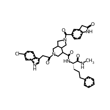 CNC(=O)[C@H](CCCc1ccccc1)NC(=O)C1CN(C(=O)Cc2c[nH]c3cc(Cl)ccc23)CC2CN(C(=O)c3ccc4c(c3)CC(=O)N4)CC21